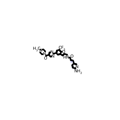 CN1CCN(C(=O)c2cnc(-c3cc(C(F)(F)F)c4oc(CNC(=O)/C=C/c5ccc(N)nc5)cc4c3)nc2)CC1